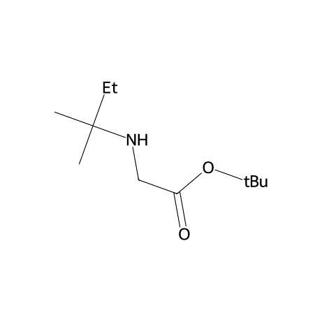 [CH2]CC(C)(C)NCC(=O)OC(C)(C)C